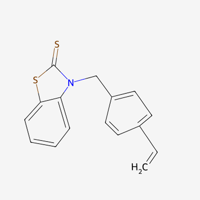 C=Cc1ccc(Cn2c(=S)sc3ccccc32)cc1